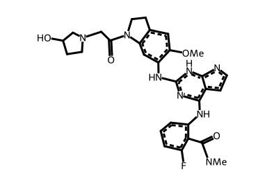 CNC(=O)c1c(F)cccc1Nc1nc(Nc2cc3c(cc2OC)CCN3C(=O)CN2CCC(O)C2)[nH]c2nccc1-2